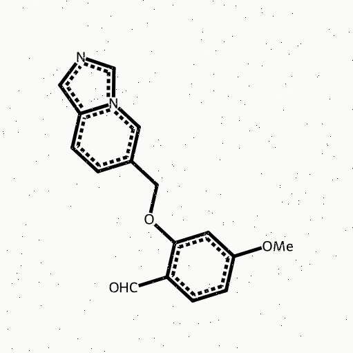 COc1ccc(C=O)c(OCc2ccc3cncn3c2)c1